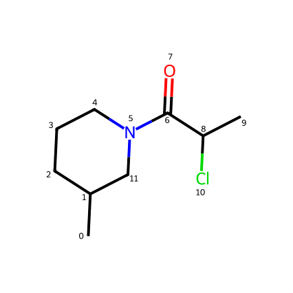 CC1CCCN(C(=O)C(C)Cl)C1